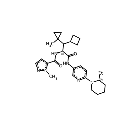 CC[C@H]1CCCCN1c1ccc(NC(=O)[C@@H](NC(=O)c2ccnn2C)C(C2CCC2)C2(C)CC2)cn1